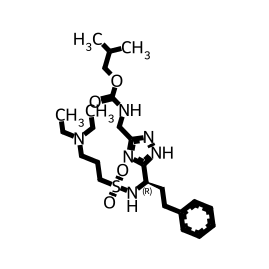 CCN(CC)CCCS(=O)(=O)N[C@H](CCc1ccccc1)c1nc(CNC(=O)OCC(C)C)n[nH]1